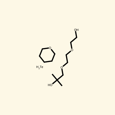 C1CCOCC1.CC(C)(O)COCCOCCO.[TeH2]